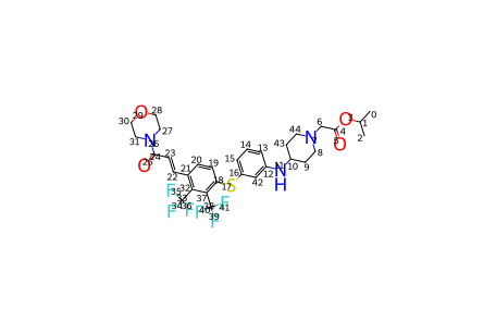 CC(C)OC(=O)CN1CCC(Nc2cccc(Sc3ccc(C=CC(=O)N4CCOCC4)c(C(F)(F)F)c3C(F)(F)F)c2)CC1